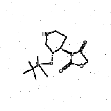 CC(C)(C)[Si](C)(C)O[C@@H]1CNCC[C@H]1N1C(=O)COC1=O